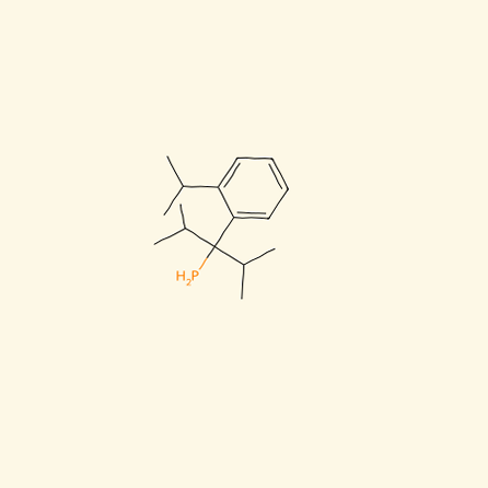 CC(C)c1ccccc1C(P)(C(C)C)C(C)C